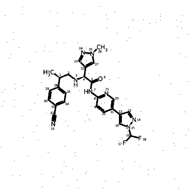 C[C@@H](CN[C@H](C(=O)Nc1ccc(-c2cnn(C(F)F)c2)cn1)c1cnn(C)c1)c1ccc(C#N)cc1